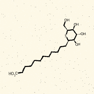 O=C(O)CCCCCCCCCCC[C@H]1S[C@@H](CO)[C@@H](O)[C@H](O)[C@H]1O